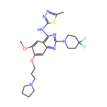 COc1cc2c(Nc3nnc(C)s3)nc(N3CCC(F)(F)CC3)nc2cc1OCCCN1CCCC1